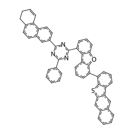 C1=Cc2c(ccc3cc(-c4nc(-c5ccccc5)nc(-c5cccc6oc7c(-c8cccc9c8sc8cc%10ccccc%10cc89)cccc7c56)n4)ccc23)CC1